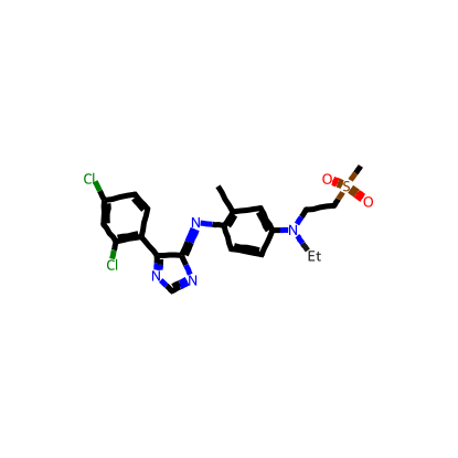 CCN(CCS(C)(=O)=O)c1ccc(N=C2N=CN=C2c2ccc(Cl)cc2Cl)c(C)c1